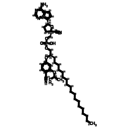 CCCCCCCCCCCCCCCCCCC[C@H](COP(=O)(O)OC[C@]1(C#N)CC[C@H](c2ccc3c(N)ncnn23)O1)Oc1ccc(C#N)c(OC(C)C)c1